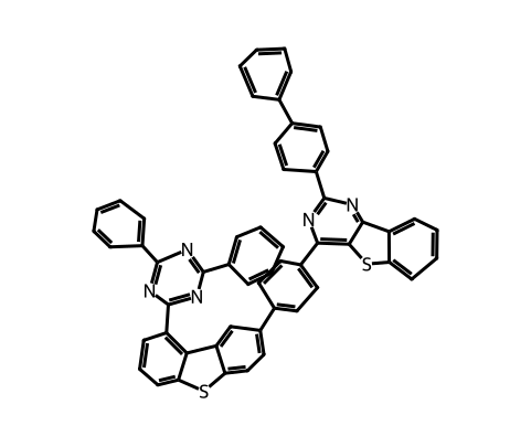 c1ccc(-c2ccc(-c3nc(-c4ccc(-c5ccc6sc7cccc(-c8nc(-c9ccccc9)nc(-c9ccccc9)n8)c7c6c5)cc4)c4sc5ccccc5c4n3)cc2)cc1